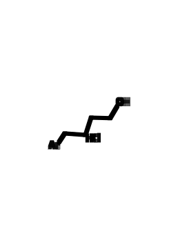 CC(=O)CCCCO.Cl